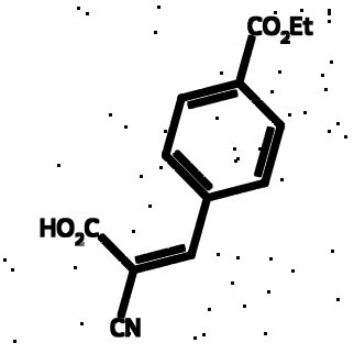 CCOC(=O)c1ccc(C=C(C#N)C(=O)O)cc1